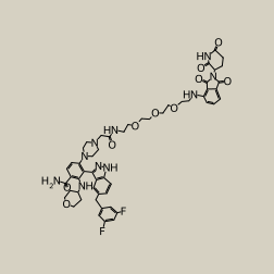 NC(=O)c1ccc(N2CCN(CC(=O)NCCOCCOCCOCCNc3cccc4c3C(=O)N(C3CCC(=O)NC3=O)C4=O)CC2)c(-c2n[nH]c3ccc(Cc4cc(F)cc(F)c4)cc23)c1NC1CCOCC1